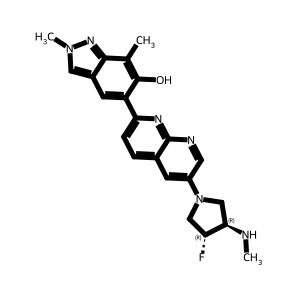 CN[C@@H]1CN(c2cnc3nc(-c4cc5cn(C)nc5c(C)c4O)ccc3c2)C[C@H]1F